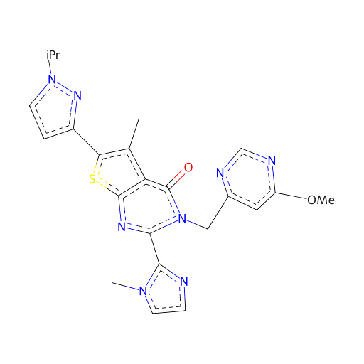 COc1cc(Cn2c(-c3nccn3C)nc3sc(-c4ccn(C(C)C)n4)c(C)c3c2=O)ncn1